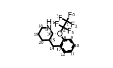 FC(F)(F)C(F)(F)Oc1ccccc1CC1[CH]NCCC1